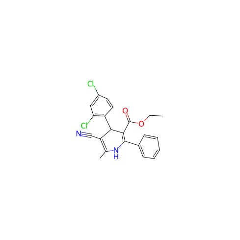 CCOC(=O)C1=C(c2ccccc2)NC(C)=C(C#N)C1c1ccc(Cl)cc1Cl